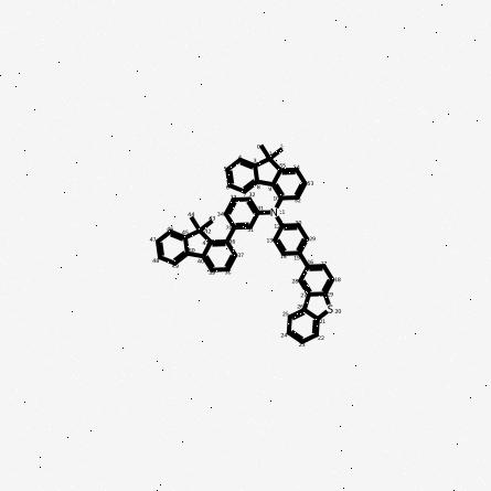 CC1(C)c2ccccc2-c2c(N(c3ccc(-c4ccc5sc6ccccc6c5c4)cc3)c3cccc(-c4cccc5c4C(C)(C)c4ccccc4-5)c3)cccc21